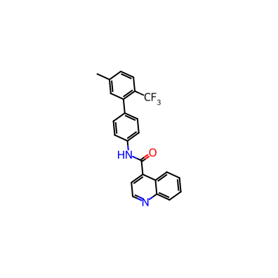 Cc1ccc(C(F)(F)F)c(-c2ccc(NC(=O)c3ccnc4ccccc34)cc2)c1